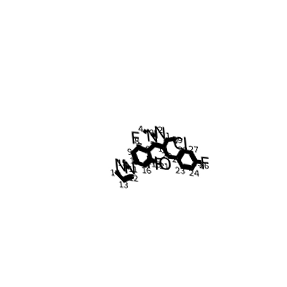 Cc1nn(C)c(-c2c(F)cc(-n3cccn3)cc2F)c1C(O)c1ccc(F)cc1Cl